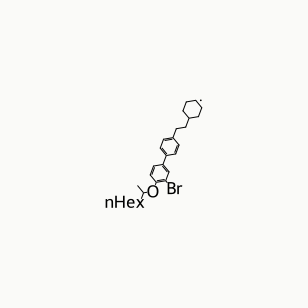 CCCCCCC(C)Oc1ccc(-c2ccc(CCC3CC[CH]CC3)cc2)cc1Br